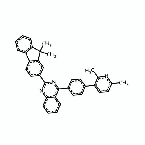 Cc1ccc(-c2ccc(-c3nc(-c4ccc5c(c4)C(C)(C)c4ccccc4-5)nc4ccccc34)cc2)c(C)n1